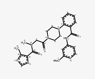 COc1cc(NC(=O)c2ccccc2N2CCN(C(=O)CN(C)C(=O)c3ncoc3C)CC2)ccn1